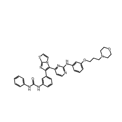 O=C(Nc1ccccc1)Nc1cccc(-c2nc3sccn3c2-c2ccnc(Nc3cccc(OCCCN4CCOCC4)c3)n2)c1